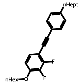 CCCCCCCc1ccc(C#Cc2ccc(OCCCCCC)c(F)c2F)cc1